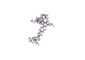 Cc1cc(C2CCN(C3CN(C(=O)OC(C)(C)C)C3)CC2)cc2c1OCc1c(Cl)ncnc1N2C(=O)OC(C)(C)C